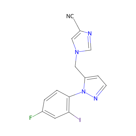 N#Cc1cn(Cc2ccnn2-c2ccc(F)cc2I)cn1